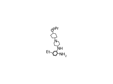 CCCOC1CCC(N2CCC(Nc3cc(CC)ccc3N)CC2)CC1